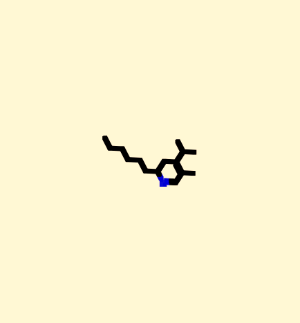 CCCCCCC1CC(C(C)C)=C(C)C=N1